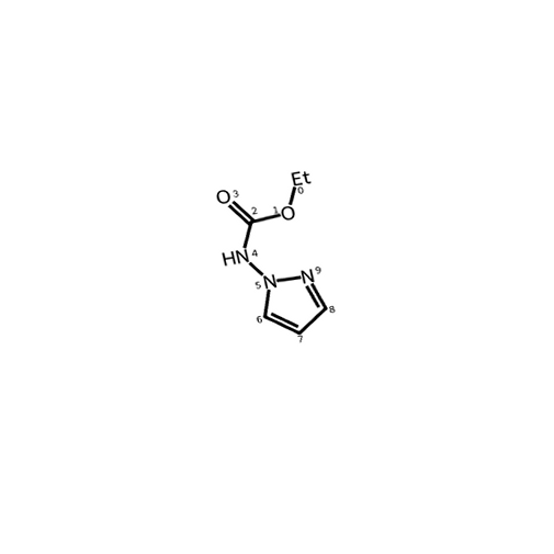 CCOC(=O)Nn1cccn1